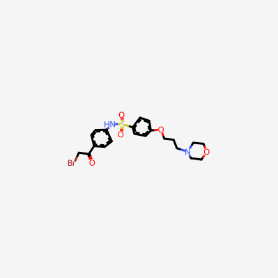 O=C(CBr)c1ccc(NS(=O)(=O)c2ccc(OCCCN3CCOCC3)cc2)cc1